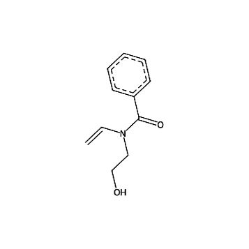 C=CN(CCO)C(=O)c1ccccc1